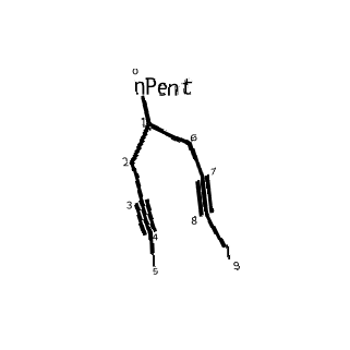 CCCCC[C](CC#CI)CC#CI